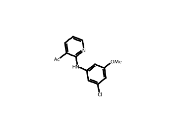 COc1cc(Cl)cc(Nc2ncccc2C(C)=O)c1